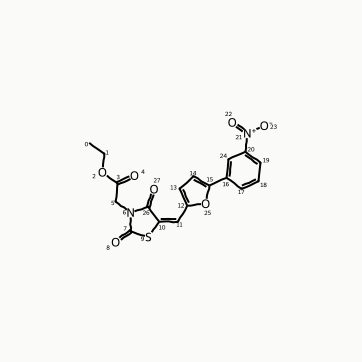 CCOC(=O)CN1C(=O)S/C(=C/c2ccc(-c3cccc([N+](=O)[O-])c3)o2)C1=O